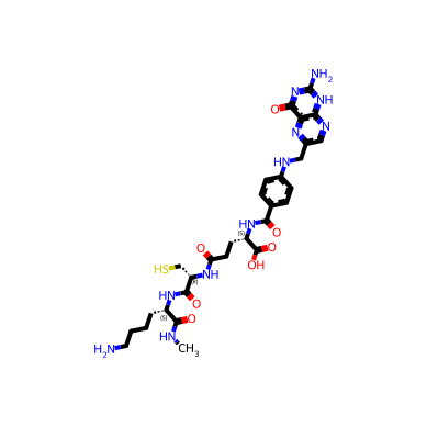 CNC(=O)[C@H](CCCCN)NC(=O)[C@H](CS)NC(=O)CC[C@H](NC(=O)c1ccc(NCc2cnc3[nH]c(N)nc(=O)c3n2)cc1)C(=O)O